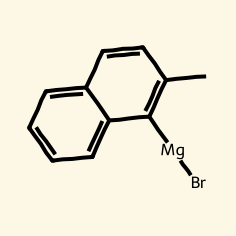 Cc1ccc2ccccc2[c]1[Mg][Br]